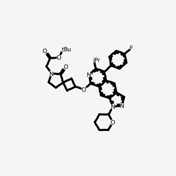 CC(C)c1nc(OC2CC3(CCN(CC(=O)OC(C)(C)C)C3=O)C2)c2cc3c(cnn3C3CCCCO3)cc2c1-c1ccc(F)cc1